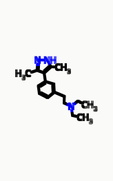 CCN(CC)CCc1cccc(-c2c(C)n[nH]c2C)c1